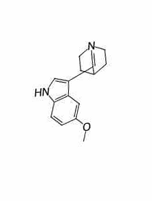 COc1ccc2[nH]cc(C3=CN4CCC3CC4)c2c1